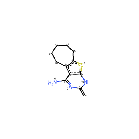 C=C1N=C(N)c2c(sc3c2CCCCC3)N1